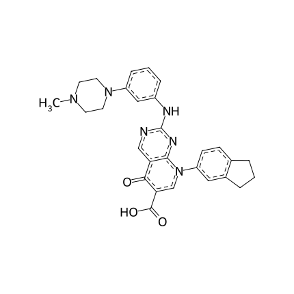 CN1CCN(c2cccc(Nc3ncc4c(=O)c(C(=O)O)cn(-c5ccc6c(c5)CCC6)c4n3)c2)CC1